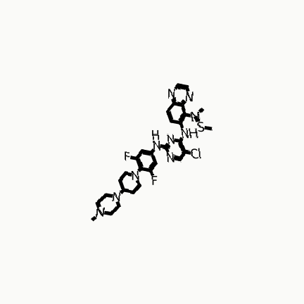 CSN(C)c1c(Nc2nc(Nc3cc(F)c(N4CCC(N5CCN(C)CC5)CC4)c(F)c3)ncc2Cl)ccc2nccnc12